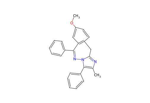 COc1ccc2c(c1)C(c1ccccc1)=Nn1c(nc(C)c1-c1ccccc1)C2